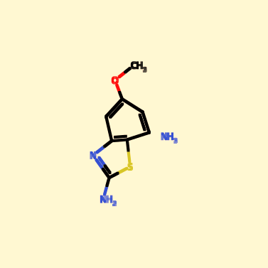 COc1ccc2sc(N)nc2c1.N